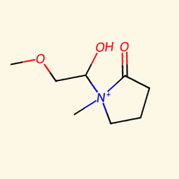 COCC(O)[N+]1(C)CCCC1=O